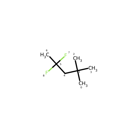 CC(C)(C)CC(C)(F)F